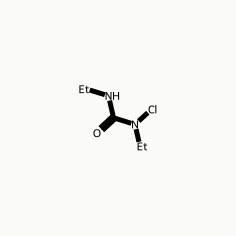 CCNC(=O)N(Cl)CC